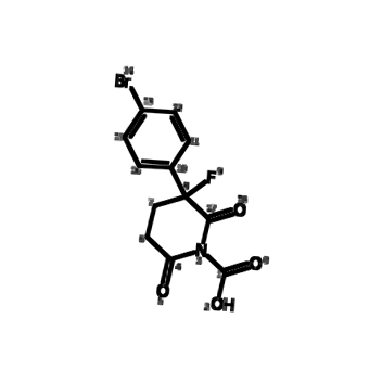 O=C(O)N1C(=O)CCC(F)(c2ccc(Br)cc2)C1=O